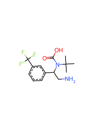 CC(C)(C)N(C(=O)O)C(CN)c1cccc(C(F)(F)F)c1